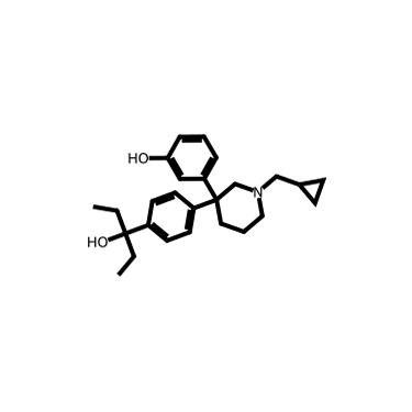 CCC(O)(CC)c1ccc(C2(c3cccc(O)c3)CCCN(CC3CC3)C2)cc1